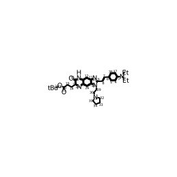 CCN(CC)c1ccc(/C=C/c2nc3cc4[nH]c(=O)c(CCC(=O)OC(C)(C)C)nc4cc3n2CCN2CCCC2)cc1